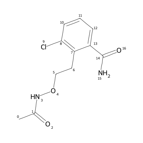 CC(=O)NOCCc1c(Cl)cccc1C(N)=O